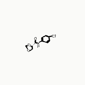 O=C(Nc1ccc(Cl)cc1)[C@@H]1COCO1